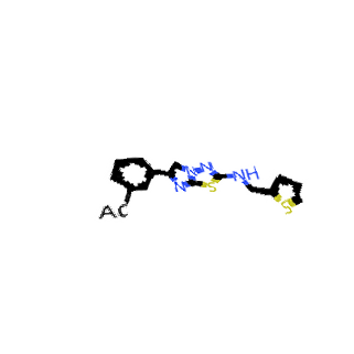 CC(=O)c1cccc(-c2cn3nc(NCc4cccs4)sc3n2)c1